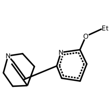 CCOc1cccc(C2=CN3CCC2CC3)n1